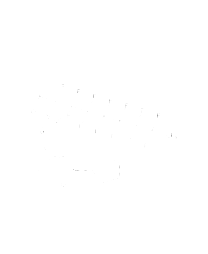 C[S+](C)CC(=O)C1CCCC1.O=S(=O)([O-])C(F)(F)C(F)(F)C(F)(F)C(F)(F)C(F)(F)C(F)(F)C(F)(F)C(F)(F)F